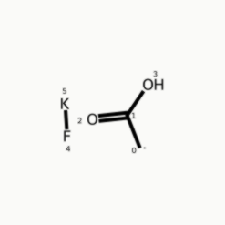 [CH2]C(=O)O.[F][K]